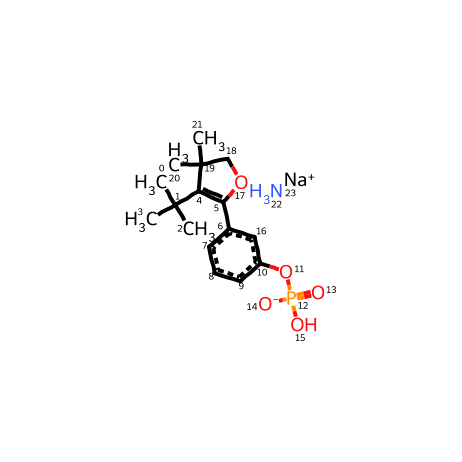 CC(C)(C)C1=C(c2cccc(OP(=O)([O-])O)c2)OCC1(C)C.N.[Na+]